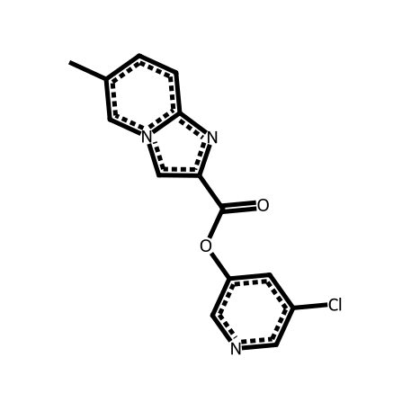 Cc1ccc2nc(C(=O)Oc3cncc(Cl)c3)cn2c1